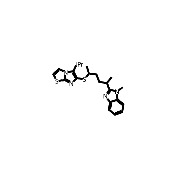 CC(CCC(C)c1nc2ccccc2n1C)Sc1nc2sccn2c1C(C)C